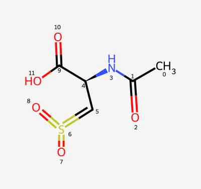 CC(=O)N[C@@H](C=S(=O)=O)C(=O)O